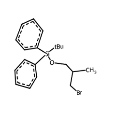 CC(CBr)CO[Si](c1ccccc1)(c1ccccc1)C(C)(C)C